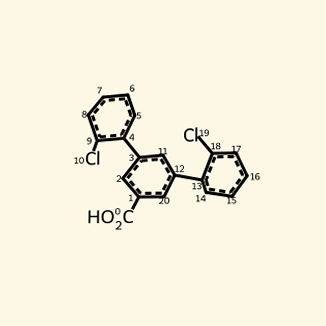 O=C(O)c1cc(-c2ccccc2Cl)cc(-c2ccccc2Cl)c1